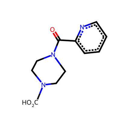 O=C(O)N1CCN(C(=O)c2ccccn2)CC1